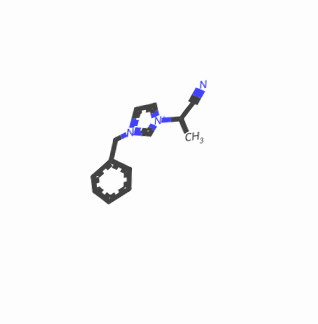 CC(C#N)[n+]1ccn(Cc2ccccc2)c1